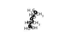 Cc1ccc(C)c(CNC(=O)Cc2cccc(C[C@@H](C)NCC(O)c3ccc(O)c(CO)n3)c2)c1